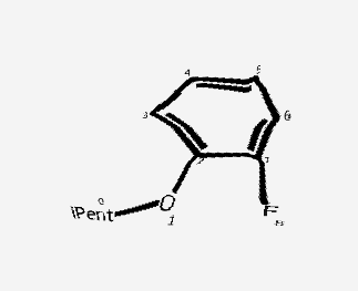 CCCC(C)Oc1ccccc1F